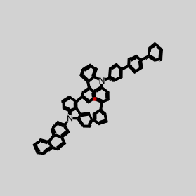 c1ccc(-c2ccc(-c3ccc(N(c4ccc(-c5ccccc5)cc4)c4ccccc4-c4cccc(-c5cccc6c5c5ccccc5n6-c5ccc6c(ccc7ccccc76)c5)c4)cc3)cc2)cc1